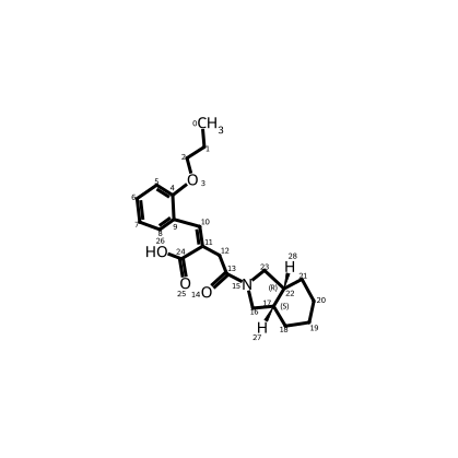 CCCOc1ccccc1C=C(CC(=O)N1C[C@H]2CCCC[C@H]2C1)C(=O)O